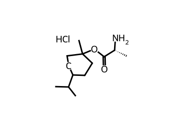 CC(C)C1CCC(C)(OC(=O)[C@@H](C)N)CC1.Cl